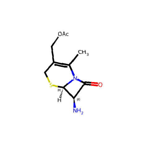 CC(=O)OCC1=C(C)N2C(=O)[C@@H](N)[C@H]2SC1